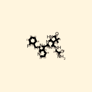 CC1(C)C(=O)Nc2nc(-c3nn(Cc4ccccc4F)c4ncccc34)nc(NCC(N)=O)c21